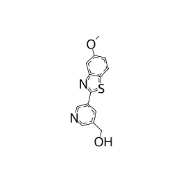 COc1ccc2sc(-c3cncc(CO)c3)nc2c1